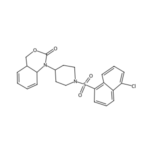 O=C1OCC2C=CC=CC2N1C1CCN(S(=O)(=O)c2cccc3c(Cl)cccc23)CC1